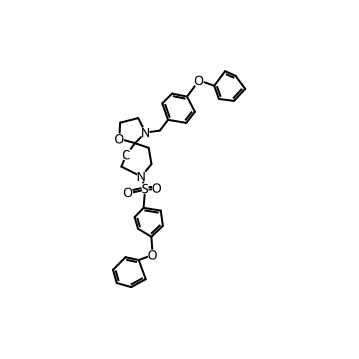 O=S(=O)(c1ccc(Oc2ccccc2)cc1)N1CCC2(CC1)OCCN2Cc1ccc(Oc2ccccc2)cc1